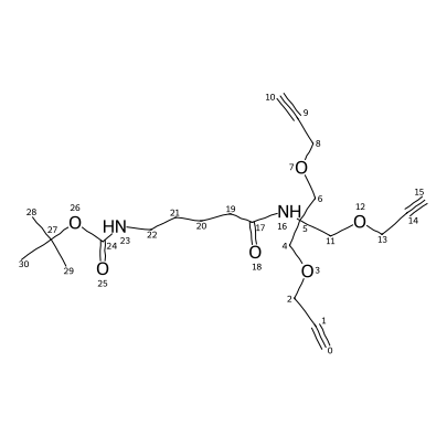 C#CCOCC(COCC#C)(COCC#C)NC(=O)CCCCNC(=O)OC(C)(C)C